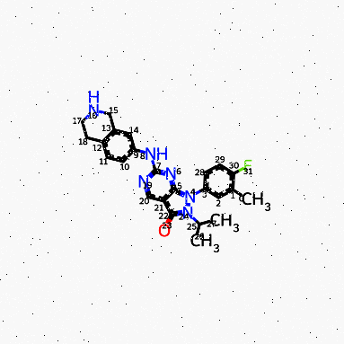 Cc1cc(-n2c3nc(Nc4ccc5c(c4)CNCC5)ncc3c(=O)n2C(C)C)ccc1F